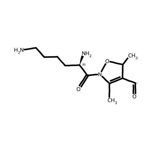 CC1=C([C]=O)C(C)ON1C(=O)[C@H](N)CCCCN